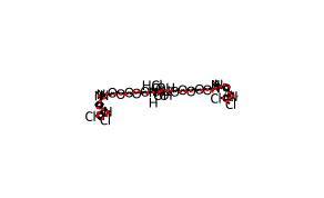 CN1Cc2c(Cl)cc(Cl)cc2[C@H](c2cccc(-c3cn(CCOCCOCCOCCOCCOCCNC(=O)[C@H](O)[C@@H](O)C(=O)NCCOCCOCCOCCOCCOCCn4cc(-c5cccc([C@@H]6CN(C)Cc7c(Cl)cc(Cl)cc76)c5)nn4)nn3)c2)C1.Cl